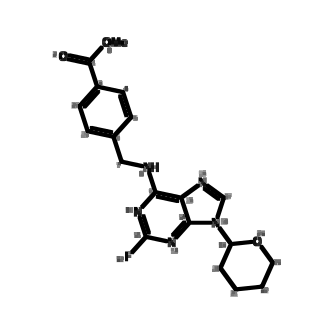 COC(=O)c1ccc(CNc2nc(F)nc3c2ncn3C2CCCCO2)cc1